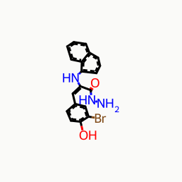 NNC(=O)C(=Cc1ccc(O)c(Br)c1)Nc1cccc2ccccc12